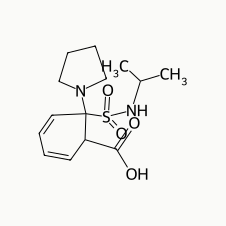 CC(C)NS(=O)(=O)C1(N2CCCC2)C=CC=CC1C(=O)O